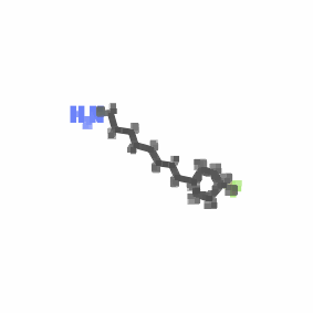 NCCCCCCCCc1ccc(F)cc1